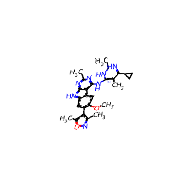 CCN/C(Nc1nc(C)nc2[nH]c3cc(-c4c(C)noc4C)c(OC)cc3c12)=C(/C)C(=N)C1CC1